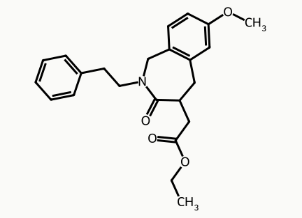 CCOC(=O)CC1Cc2cc(OC)ccc2CN(CCc2ccccc2)C1=O